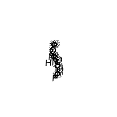 O=C(Nc1ccc(Oc2ccc(F)cc2)cc1)c1ccc(COCc2ccccc2)nc1